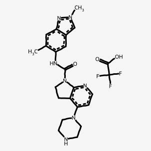 Cc1cc2nn(C)cc2cc1NC(=O)N1CCc2c(N3CCNCC3)ccnc21.O=C(O)C(F)(F)F